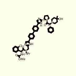 CCCN(Cc1ncc(-c2ccc(-c3ccc(-c4cnc([C@@H]5CCCN5C(=O)[C@@H](c5ccccc5)N5CCC(C)(O)CC5)[nH]4)cc3)cc2)[nH]1)C(=O)[C@H](NC(=O)OC)c1ccccc1Cl